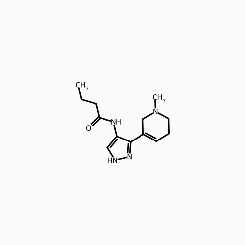 CCCC(=O)Nc1c[nH]nc1C1=CCCN(C)C1